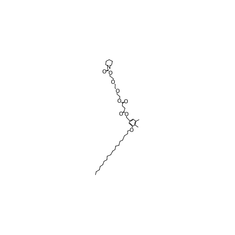 CCCCCCCCCCCCCCCCCCOc1cc(COC(=O)CCC(=O)OCCOCCOCCOC(=O)N2CCCCC2)cc(C)c1C